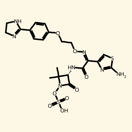 CC1(C)[C@H](NC(=O)/C(=N\OCCOc2ccc(C3=NCCN3)cc2)c2csc(N)n2)C(=O)N1OS(=O)(=O)O